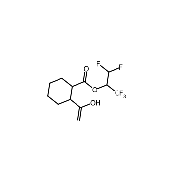 C=C(O)C1CCCCC1C(=O)OC(C(F)F)C(F)(F)F